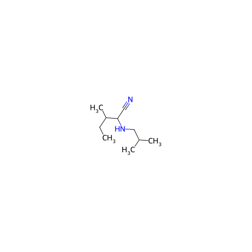 CCC(C)C(C#N)NCC(C)C